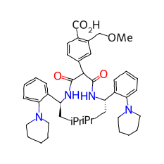 COCc1cc(C(C(=O)N[C@@H](CC(C)C)c2ccccc2N2CCCCC2)C(=O)N[C@@H](CC(C)C)c2ccccc2N2CCCCC2)ccc1C(=O)O